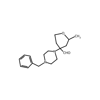 CC1CC(C=O)(N2CCN(Cc3ccccc3)CC2)CCO1